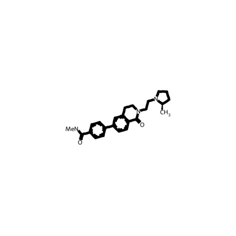 CNC(=O)c1ccc(-c2ccc3c(c2)CCN(CCN2CCC[C@H]2C)C3=O)cc1